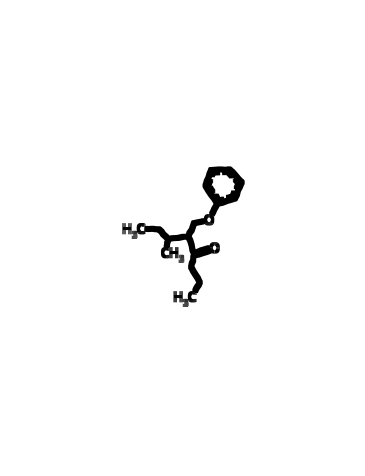 CCCC(=O)C(COc1ccccc1)C(C)CC